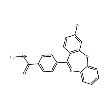 O=C(NO)c1ccc(C2=Nc3ccccc3Oc3c[n+]([O-])ccc32)cc1